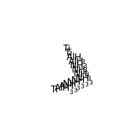 N.N.N.N.N.N.N.[AlH3].[AlH3].[AlH3].[AlH3].[Ti].[Ti].[Ti]